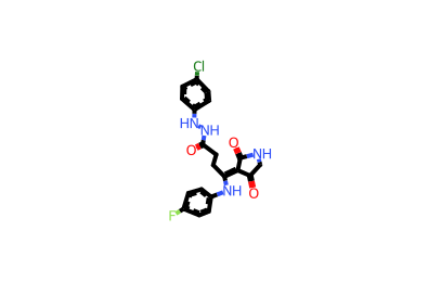 O=C(CCC(Nc1ccc(F)cc1)=C1C(=O)CNC1=O)NNc1ccc(Cl)cc1